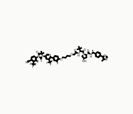 Cc1ncsc1-c1ccc([C@H](C)NC(=O)[C@@H]2C[C@@H](O)CN2C(=O)[C@@H](NC(=O)COCCCCOc2ccc(-c3ncc(N4C(=S)N(c5ccc(C#N)c(C(F)(F)F)c5F)C(=O)C4(C)C)cc3C(F)(F)F)cc2F)C(C)(C)C)cc1